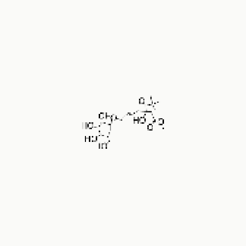 COC(=O)C[C@](O)(C/C=C/COC1CC(CO)C(O)C(O)C1O)C(=O)C(C)(C)C